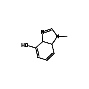 CN1C=NC2C(O)=CC=CC21